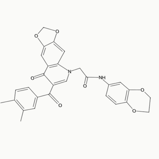 Cc1ccc(C(=O)c2cn(CC(=O)Nc3ccc4c(c3)OCCO4)c3cc4c(cc3c2=O)OCO4)cc1C